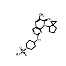 C=C1C(C)=Cc2cnc(NC3CCN(S(C)(=O)=O)CC3)nc2N1C1CCCC12CC2